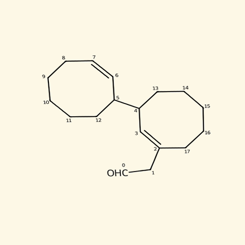 O=CC/C1=C/C(C2/C=C\CCCCC2)CCCCC1